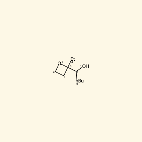 CCCCC(O)C1(CC)CCO1